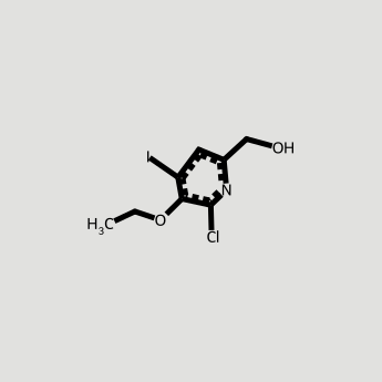 CCOc1c(I)cc(CO)nc1Cl